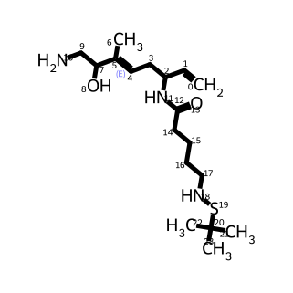 C=CC(C/C=C(\C)C(O)CN)NC(=O)CCCCNSC(C)(C)C